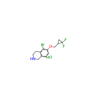 Cl.FC1(F)CC1COc1ccc2c(c1Br)CCNC2